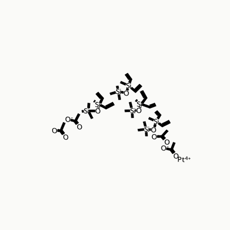 C=C[Si](C)(C=C)O[Si](C)(C)C.C=C[Si](C)(C=C)O[Si](C)(C)C.C=C[Si](C)(C=C)O[Si](C)(C)C.C=C[Si](C)(C=C)O[Si](C)(C)C.CC(=O)[O-].CC(=O)[O-].CC(=O)[O-].CC(=O)[O-].[Pt+4]